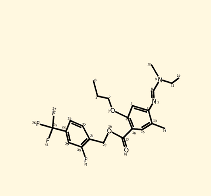 CCCOc1cc(/N=C/N(C)CC)c(C)cc1C(=O)OCc1ccc(C(F)(F)F)cc1F